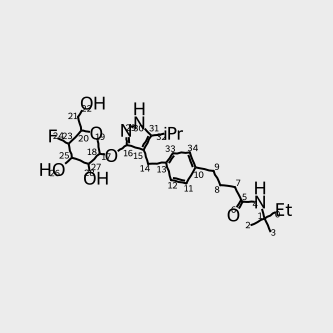 CCC(C)(C)NC(=O)CCCc1ccc(Cc2c(OC3OC(CO)C(F)C(O)C3O)n[nH]c2C(C)C)cc1